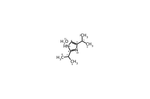 CC(C)c1c[nH]c(C(C)C)n1.O